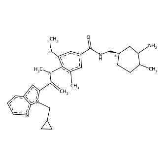 C=C(c1cc2cccnc2n1CC1CC1)N(C)c1c(C)cc(C(=O)NC[C@@H]2CCC(C)C(N)C2)cc1OC